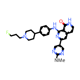 CNc1ncc(-c2cc3cc[nH]c(=O)c3c(Nc3ccc(C4CCN(CCCF)CC4)cc3)n2)cn1